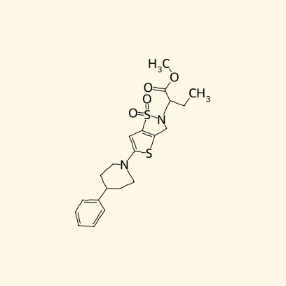 CCC(C(=O)OC)N1Cc2sc(N3CCC(c4ccccc4)CC3)cc2S1(=O)=O